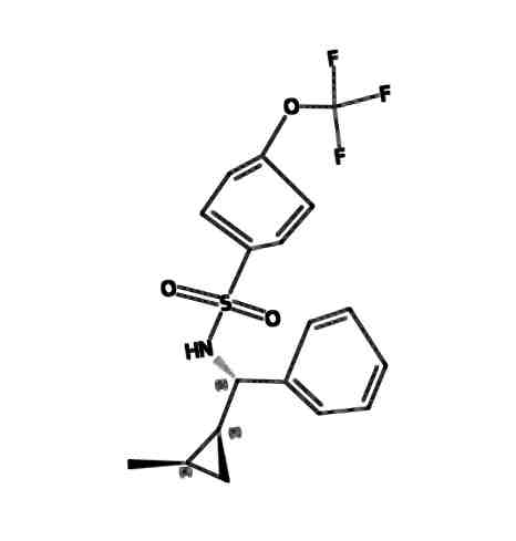 C[C@@H]1C[C@@H]1[C@H](NS(=O)(=O)c1ccc(OC(F)(F)F)cc1)c1ccccc1